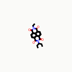 CCC(CC)N1C(=O)c2ccc3c4c(ccc(c24)C1=O)C(=O)N(CC)C3=O